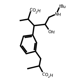 CC(Cc1cccc(C(C(O)CNC(C)(C)C)C(C)C(=O)O)c1)C(=O)O